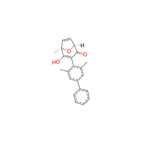 Cc1cc(-c2ccccc2)cc(C)c1C1=C(O)[C@@]2(C)C=C[C@H](O2)C1=O